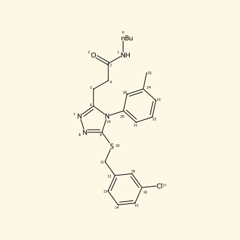 CCCCNC(=O)CCc1nnc(SCc2cccc(Cl)c2)n1-c1cccc(C)c1